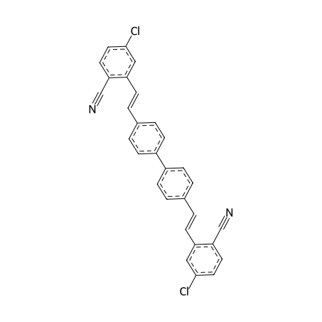 N#Cc1ccc(Cl)cc1C=Cc1ccc(-c2ccc(C=Cc3cc(Cl)ccc3C#N)cc2)cc1